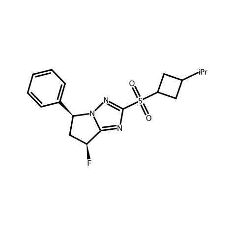 CC(C)C1CC(S(=O)(=O)c2nc3n(n2)[C@H](c2ccccc2)C[C@@H]3F)C1